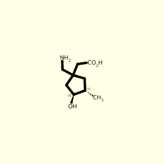 C[C@H]1CC(CN)(CC(=O)O)C[C@@H]1O